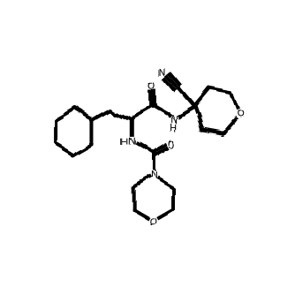 N#CC1(NC(=O)C(CC2CCCCC2)NC(=O)N2CCOCC2)CCOCC1